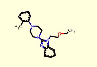 CCOCCn1c(N2CCN(c3ccccc3C)CC2)nc2ccccc21